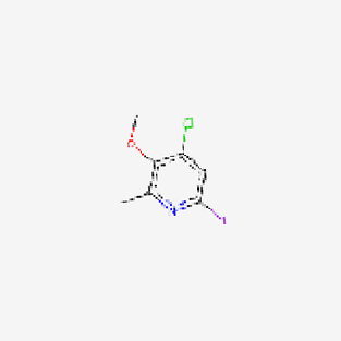 COc1c(Cl)cc(I)nc1C